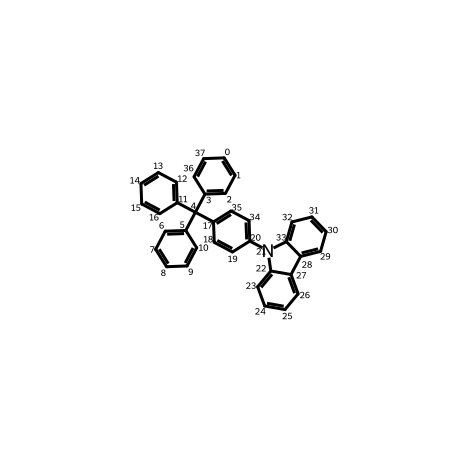 c1ccc(C(c2ccccc2)(c2ccccc2)c2ccc(-n3c4ccccc4c4ccccc43)cc2)cc1